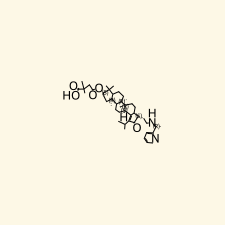 CC(C)C1=C2C(CC[C@]3(C)[C@@H]2CCC2[C@@]4(C)CC[C@H](OC(=O)CC(C)(C)C(=O)O)C(C)(C)C4CC[C@]23C)[C@H](CCN[C@H](C)c2ccccn2)C1=O